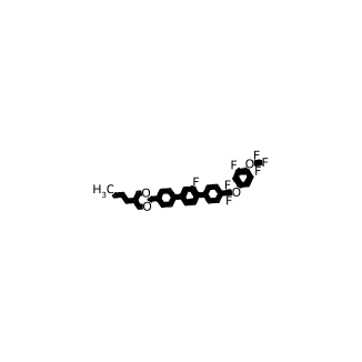 CCCCC1COC(C2CCC(c3ccc(C4CCC(C(F)(F)Oc5ccc(OC(F)(F)F)c(F)c5)CC4)c(F)c3)CC2)OC1